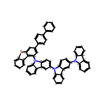 c1ccc(-c2ccc(-c3cc(-n4c5ccccc5c5cc(-n6c7ccccc7c7cc(-n8c9ccccc9c9ccccc98)ccc76)ccc54)c4c(c3)sc3ccccc34)cc2)cc1